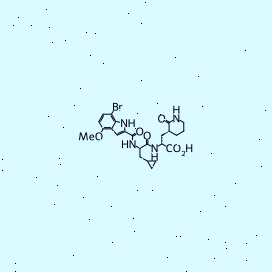 COc1ccc(Br)c2[nH]c(C(=O)NC(CC3CC3)C(=O)NC(C[C@@H]3CCCNC3=O)C(=O)O)cc12